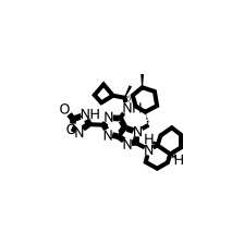 C[C@@H](Nc1nc(-c2noc(=O)[nH]2)nc2nc(N3CCC[C@@H]4CCCC[C@H]43)n(C[C@H]3CC[C@H](C)CC3)c12)C1CCC1